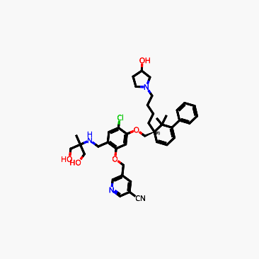 CC(CO)(CO)NCc1cc(Cl)c(OC[C@]2(CCCCN3CCC(O)C3)C=CC=C(c3ccccc3)C2(C)C)cc1OCc1cncc(C#N)c1